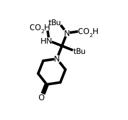 CC(C)(C)N(C(=O)O)C(NC(=O)O)(N1CCC(=O)CC1)C(C)(C)C